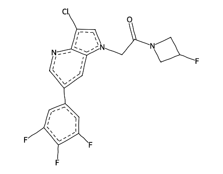 O=C(Cn1cc(Cl)c2ncc(-c3cc(F)c(F)c(F)c3)cc21)N1CC(F)C1